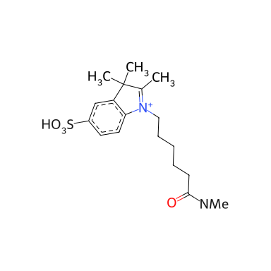 CNC(=O)CCCCC[N+]1=C(C)C(C)(C)c2cc(S(=O)(=O)O)ccc21